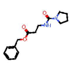 O=C(CCNC(=O)N1CCCC1)OCc1ccccc1